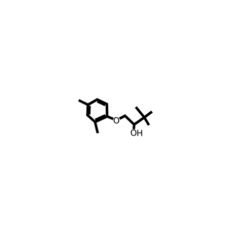 Cc1ccc(OCC(O)C(C)(C)C)c(C)c1